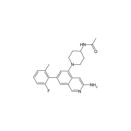 CC(=O)NC1CCN(c2cc(-c3c(C)cccc3F)cc3cnc(N)cc23)CC1